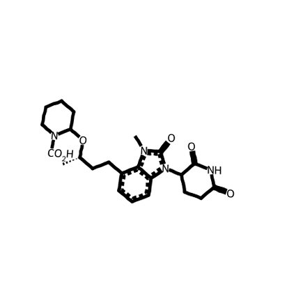 C[C@@H](CCc1cccc2c1n(C)c(=O)n2C1CCC(=O)NC1=O)OC1CCCCN1C(=O)O